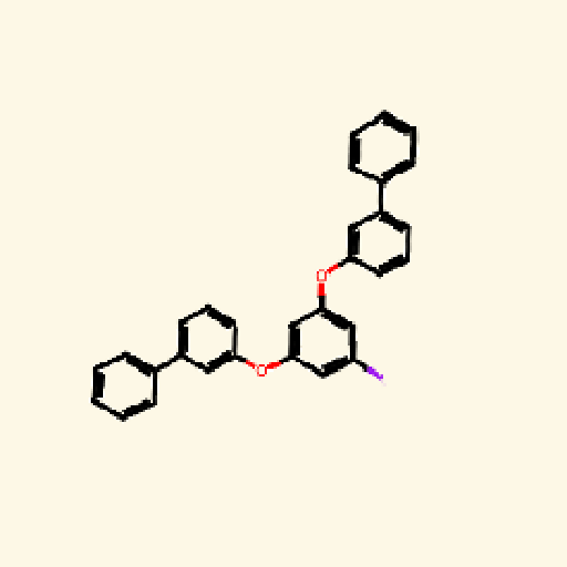 Ic1cc(Oc2cccc(-c3ccccc3)c2)cc(Oc2cccc(-c3ccccc3)c2)c1